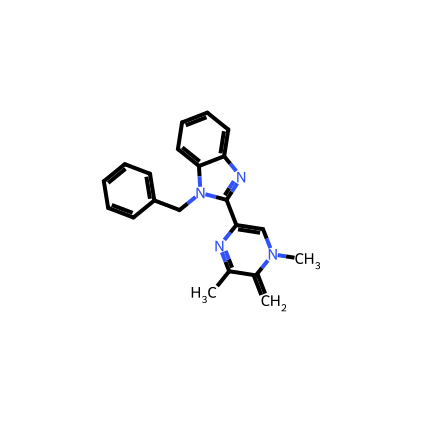 C=C1C(C)=NC(c2nc3ccccc3n2Cc2ccccc2)=CN1C